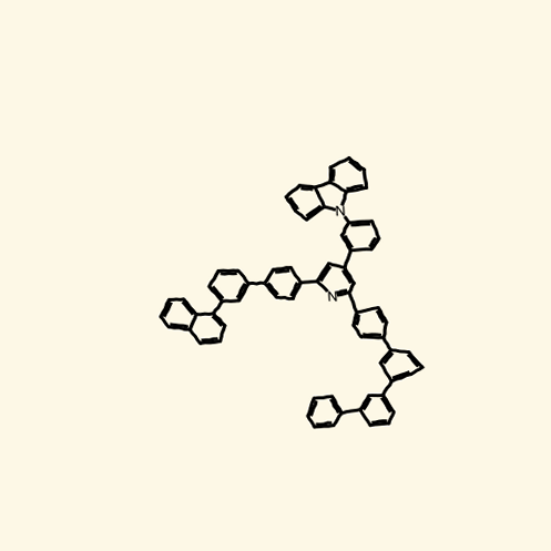 c1ccc(-c2cccc(-c3cccc(-c4ccc(-c5cc(-c6cccc(-n7c8ccccc8c8ccccc87)c6)cc(-c6ccc(-c7cccc(-c8cccc9ccccc89)c7)cc6)n5)cc4)c3)c2)cc1